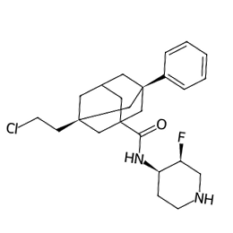 O=C(N[C@@H]1CCNC[C@@H]1F)C12CC3C[C@@](CCCl)(C1)C[C@](c1ccccc1)(C3)C2